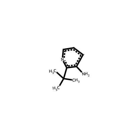 CC(C)(C)c1ncc[c]c1N